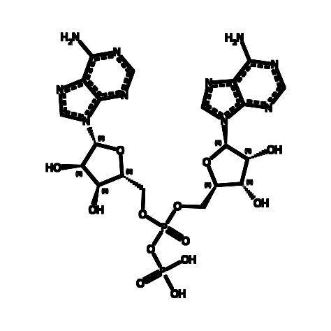 Nc1ncnc2c1ncn2[C@@H]1O[C@H](COP(=O)(OC[C@H]2O[C@@H](n3cnc4c(N)ncnc43)[C@H](O)[C@@H]2O)OP(=O)(O)O)[C@@H](O)[C@H]1O